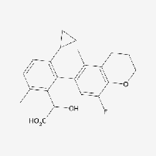 Cc1ccc(C2CC2)c(-c2cc(F)c3c(c2C)CCCO3)c1C(O)C(=O)O